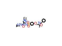 CCn1cc(C(=O)NCC2CC2)c(NS(=O)(=O)c2ccc(OCc3nc(-c4ccccc4)oc3C)cc2)n1